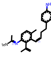 C=C(C)c1c(/N=C(\C)NC)ccc(C)c1/C=C\CCc1ccc(N)cc1